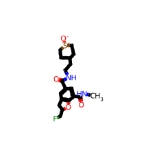 CNC(=O)c1cc(C(=O)NCCC2CC[S+]([O-])CC2)cc2c1OC(CF)C2